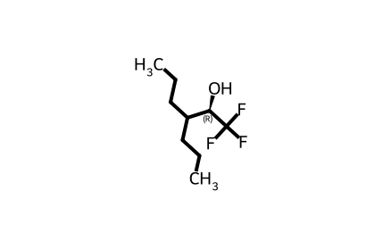 CCCC(CCC)[C@@H](O)C(F)(F)F